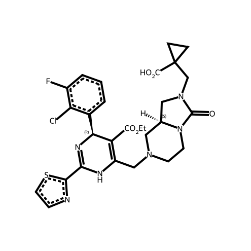 CCOC(=O)C1=C(CN2CCN3C(=O)N(CC4(C(=O)O)CC4)C[C@@H]3C2)NC(c2nccs2)=N[C@H]1c1cccc(F)c1Cl